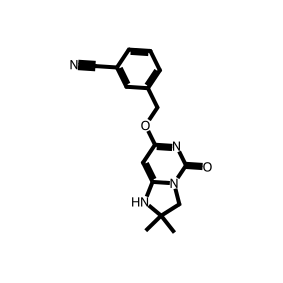 CC1(C)Cn2c(cc(OCc3cccc(C#N)c3)nc2=O)N1